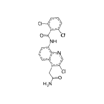 NC(=O)Cc1c(Cl)cnc2c(NC(=O)c3c(Cl)cccc3Cl)cccc12